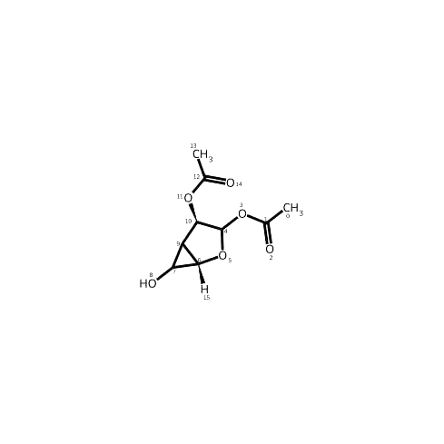 CC(=O)OC1O[C@@H]2C(O)C2[C@H]1OC(C)=O